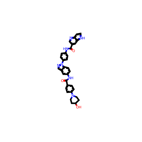 O=C(Nc1ccc2c(cnn2-c2ccc(NC(=O)c3cnc4cc[nH]c4c3)cc2)c1)c1ccc(N2CCC(O)CC2)cc1